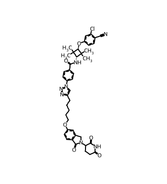 CC1(C)[C@H](NC(=O)c2ccc(-n3cc(CCCCCOc4ccc5c(c4)CN(C4CCC(=O)NC4=O)C5=O)nn3)cc2)C(C)(C)[C@H]1Oc1ccc(C#N)c(Cl)c1